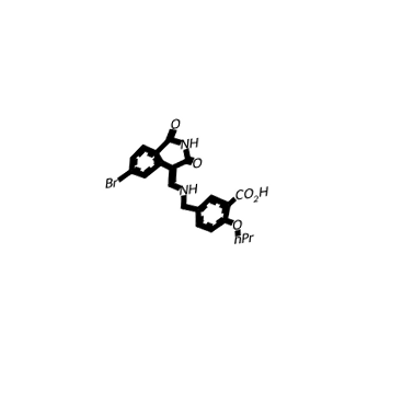 CCCOc1ccc(CNC=C2C(=O)NC(=O)c3ccc(Br)cc32)cc1C(=O)O